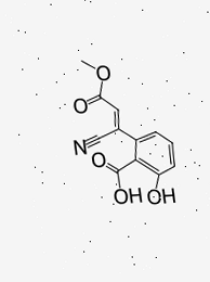 COC(=O)C=C(C#N)c1cccc(O)c1C(=O)O